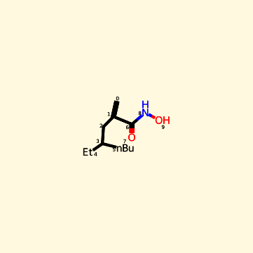 C=C(CC(CC)CCCC)C(=O)NO